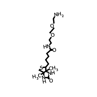 CC12CSC(CCCCC(=O)NCCOCCOCCN)C1(C)NC(=O)N2